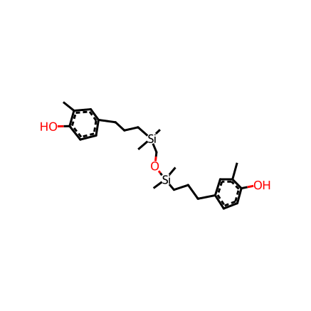 Cc1cc(CCC[Si](C)(C)CO[Si](C)(C)CCCc2ccc(O)c(C)c2)ccc1O